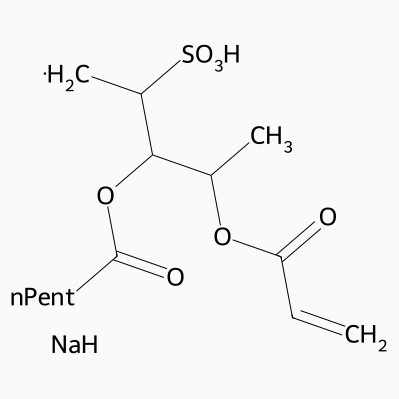 [CH2]C(C(OC(=O)CCCCC)C(C)OC(=O)C=C)S(=O)(=O)O.[NaH]